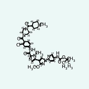 COc1nn(-c2ccc(NC(=O)OC(C)(C)C)cn2)cc1-c1cnc(C(=O)Nc2ccc(C(=O)N3CCN(C(=O)C4CCN(C)CC4)CC3)c(Cl)c2)n1C